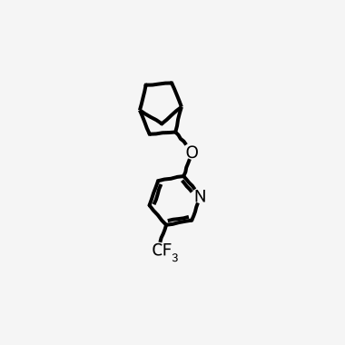 FC(F)(F)c1ccc(OC2CC3CCC2C3)nc1